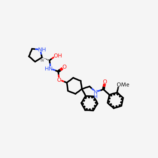 COc1ccccc1C(=O)NCC1(c2ccccc2)CCC(OC(=O)NC(O)[C@@H]2CCCN2)CC1